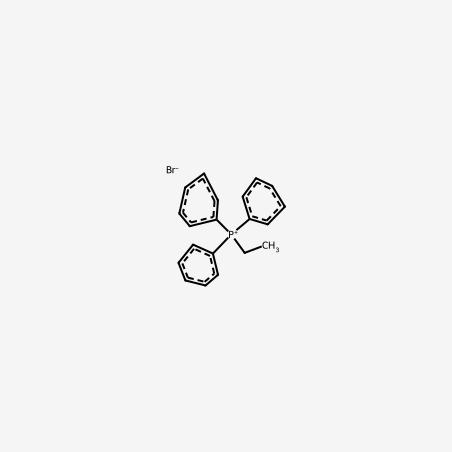 CC[P+](c1ccccc1)(c1ccccc1)c1ccccc1.[Br-]